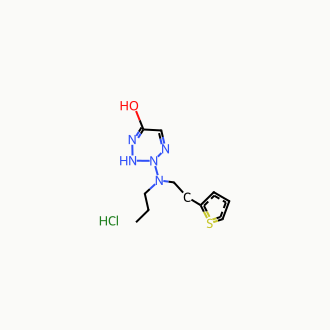 CCCN(CCc1cccs1)N1N=CC(O)=NN1.Cl